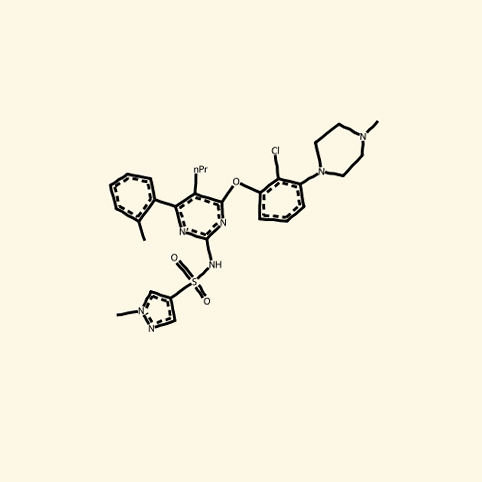 CCCc1c(Oc2cccc(N3CCN(C)CC3)c2Cl)nc(NS(=O)(=O)c2cnn(C)c2)nc1-c1ccccc1C